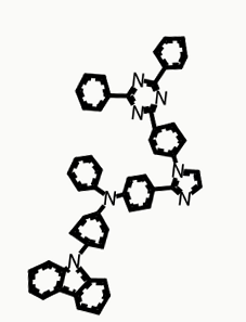 c1ccc(-c2nc(-c3ccccc3)nc(-c3ccc(-n4ccnc4-c4ccc(N(c5ccccc5)c5ccc(-n6c7ccccc7c7ccccc76)cc5)cc4)cc3)n2)cc1